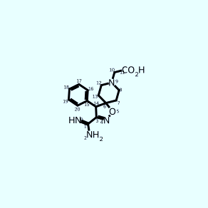 N=C(N)C1=NOC2(CCN(CC(=O)O)CC2)C1c1ccccc1